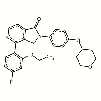 O=C1c2ccnc(-c3ccc(F)cc3OCC(F)(F)F)c2CN1c1ccc(OC2CCOCC2)cc1